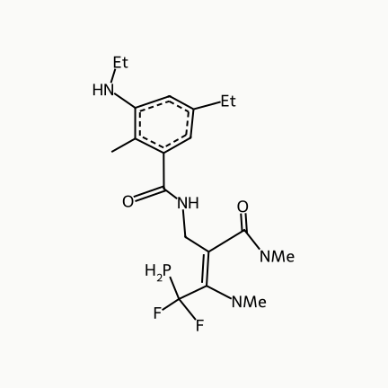 CCNc1cc(CC)cc(C(=O)NC/C(C(=O)NC)=C(/NC)C(F)(F)P)c1C